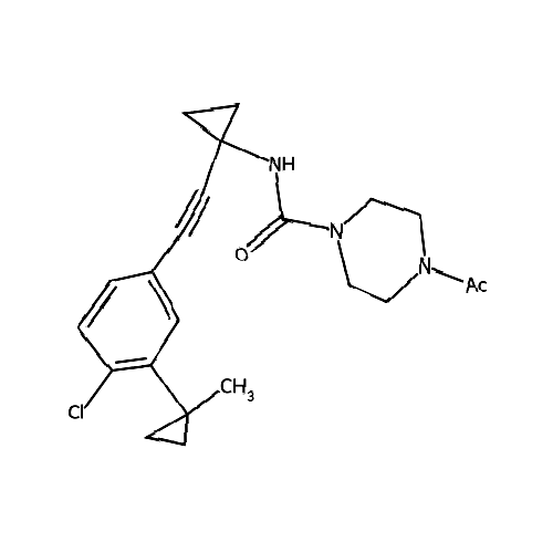 CC(=O)N1CCN(C(=O)NC2(C#Cc3ccc(Cl)c(C4(C)CC4)c3)CC2)CC1